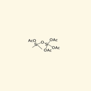 CC(=O)O[Si](C)(C)O[Si](OC(C)=O)(OC(C)=O)OC(C)=O